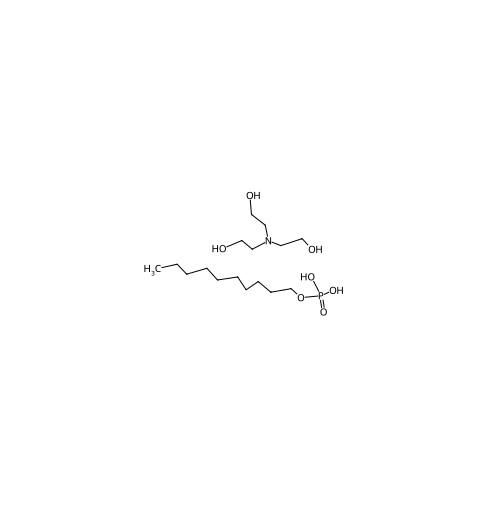 CCCCCCCCCCOP(=O)(O)O.OCCN(CCO)CCO